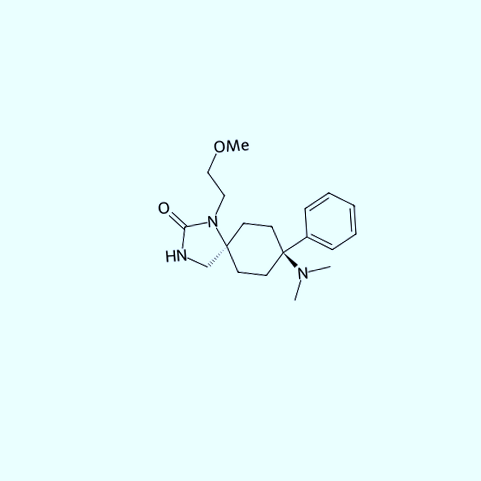 COCCN1C(=O)NC[C@]12CC[C@](c1ccccc1)(N(C)C)CC2